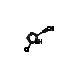 C#Cc1ccc(Cl)[nH]1